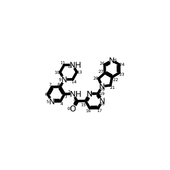 O=C(Nc1cnccc1N1CCNCC1)c1ccnc(N2Cc3ccncc3C2)n1